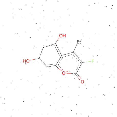 CCc1c(F)c(=O)oc2c1=C(O)CC(O)C=2